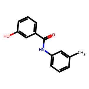 Cc1cccc(NC(=O)c2cccc(O)c2)c1